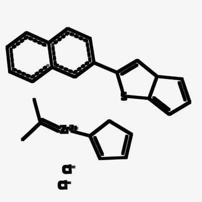 C1=CC2C=C(c3ccc4ccccc4c3)SC2=C1.C[C](C)=[Zr+2][C]1=CC=CC1.[Cl-].[Cl-]